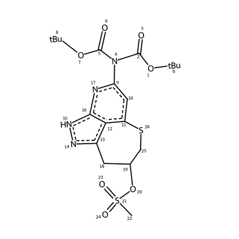 CC(C)(C)OC(=O)N(C(=O)OC(C)(C)C)c1cc2c3c(n[nH]c3n1)CC(OS(C)(=O)=O)CS2